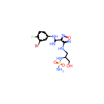 N=C(Nc1ccc(F)c(Br)c1)c1nonc1NCC(CO)NS(N)(=O)=O